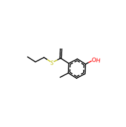 C=C(SCCC)c1cc(O)ccc1C